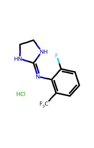 Cl.Fc1cccc(C(F)(F)F)c1N=C1NCCN1